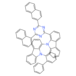 c1ccc(-c2ccccc2-n2c3ccccc3c3cccc(-n4c5ccccc5c5cccc(-c6nc(-c7ccc8ccccc8c7)nc(-c7cccc8ccccc78)n6)c54)c32)cc1